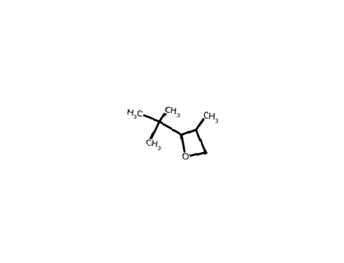 CC1COC1C(C)(C)C